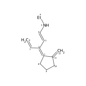 C=CC(/C=C/NCC)=C1\CCCC1=C